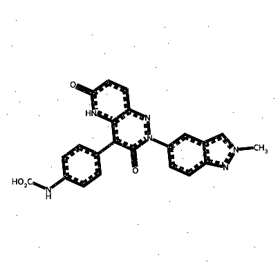 Cn1cc2cc(-n3nc4ccc(=O)[nH]c4c(-c4ccc(NC(=O)O)cc4)c3=O)ccc2n1